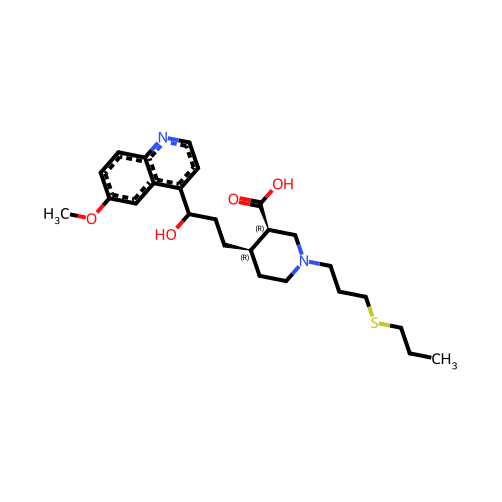 CCCSCCCN1CC[C@@H](CCC(O)c2ccnc3ccc(OC)cc23)[C@@H](C(=O)O)C1